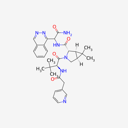 CC(C)(C)[C@H](NC(=O)Cc1cccnc1)C(=O)N1C[C@H]2[C@@H]([C@H]1C(=O)NC(C(N)=O)c1nncc3ccccc13)C2(C)C